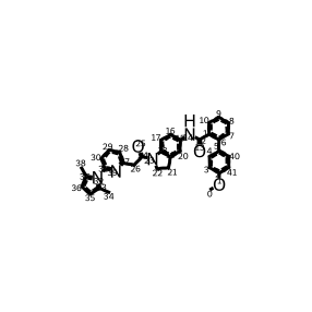 COc1ccc(-c2ccccc2C(=O)Nc2ccc3c(c2)CCN3C(=O)Cc2cccc(-n3c(C)ccc3C)n2)cc1